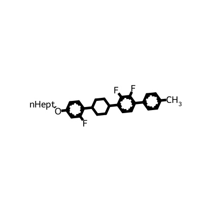 CCCCCCCOc1ccc(C2CCC(c3ccc(-c4ccc(C)cc4)c(F)c3F)CC2)c(F)c1